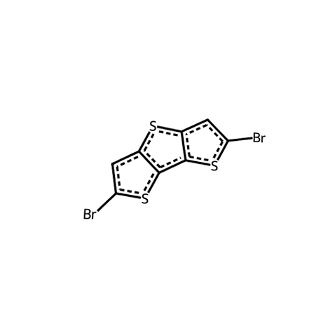 Brc1cc2sc3cc(Br)sc3c2s1